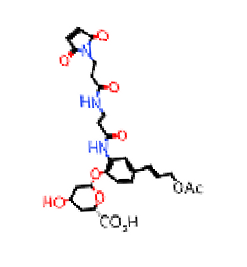 CC(=O)OC/C=C/c1ccc(O[C@H]2C[C@@H](O)C[C@@H](C(=O)O)O2)c(NC(=O)CCNC(=O)CCN2C(=O)C=CC2=O)c1